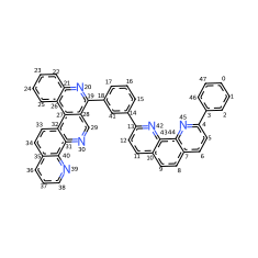 c1ccc(-c2ccc3ccc4ccc(-c5cccc(-c6nc7ccccc7c7c6cnc6c7ccc7cccnc76)c5)nc4c3n2)cc1